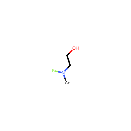 CC(=O)N(F)CCO